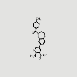 CC1CCN(C(=O)N2CCOc3ccc(-c4cnc(N)c([N+](=O)[O-])c4)cc3C2)CC1